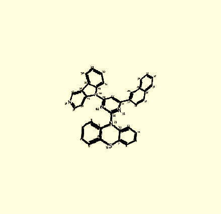 c1ccc2c(c1)Sc1ccccc1N2c1nc(-c2ccc3ccccc3c2)cc(-n2c3ccccc3c3cnccc32)n1